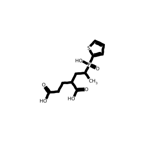 CC(CC(CCC(=O)O)C(=O)O)P(=O)(O)c1cccs1